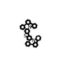 C1=Cc2c(n(-c3ccc4sc5ccc(-n6c7ccccc7c7cccc(-c8ccccc8)c76)cc5c4c3)c3c(-c4ccccc4)cccc23)CC1